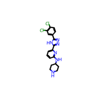 Clc1ccc(-c2nnc(-c3cccc(NC4CCNCC4)n3)[nH]2)cc1Cl